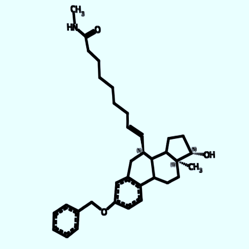 CNC(=O)CCCCCCC=C[C@@H]1Cc2cc(OCc3ccccc3)ccc2C2CC[C@@]3(C)C(CC[C@@H]3O)C21